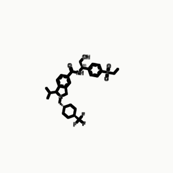 CCS(=O)(=O)c1ccc([C@H](CO)NC(=O)c2ccc3c(c2)CN(C[C@H]2CC[C@H](C(F)(F)F)CC2)C3C(C)C)cc1